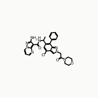 CC(NC(=O)c1c(N)nn2cccnc12)c1cc(Cl)c2cn(CC(=O)N3CCOCC3)nc2c1-c1ccccc1